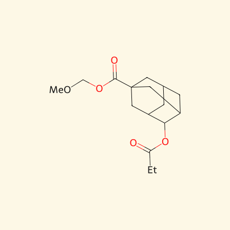 CCC(=O)OC1C2CC3CC1CC(C(=O)OCOC)(C3)C2